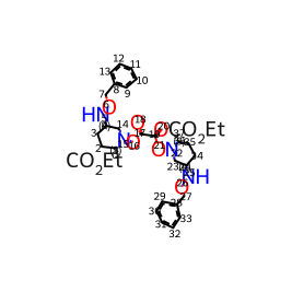 CCOC(=O)[C@@H]1CC[C@@H](NOCc2ccccc2)CN1OC(=O)C(=O)ON1C[C@H](NOCc2ccccc2)CC[C@H]1C(=O)OCC